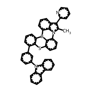 Cc1c(-c2ccccn2)c2cccc3c2n1-c1cccc2c1B3c1cccc(-c3cccc(-n4c5ccccc5c5ccccc54)c3)c1S2